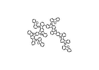 c1ccc2c(c1)oc1c(-n3c4ccccc4c4c5c6cccc7c8cc9c(cc8n(c5ccc43)c76)c3cccc4c5c6c7ccc(-c8cccc%10c8c8cc%11c%12ccccc%12n%12c%13cc%14c%15c%16c(cc%17c%18ccccc%18n(c%14cc%13c(c8n%10-c8cccc%10c8oc8ccccc8%10)c%11%12)c%17%15)c8ccccc8n%16-c8cccc%10c8oc8ccccc8%10)cc7n(-c7cccc8c7oc7ccccc78)c6ccc5n9c34)cccc12